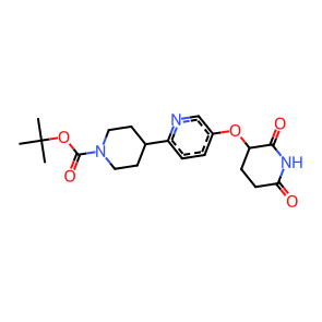 CC(C)(C)OC(=O)N1CCC(c2ccc(OC3CCC(=O)NC3=O)cn2)CC1